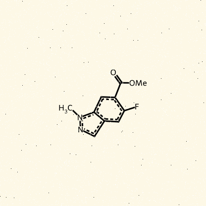 COC(=O)c1cc2c(cnn2C)cc1F